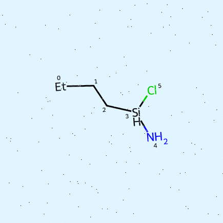 CCCC[SiH](N)Cl